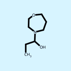 CCC(O)N1CCCOCC1